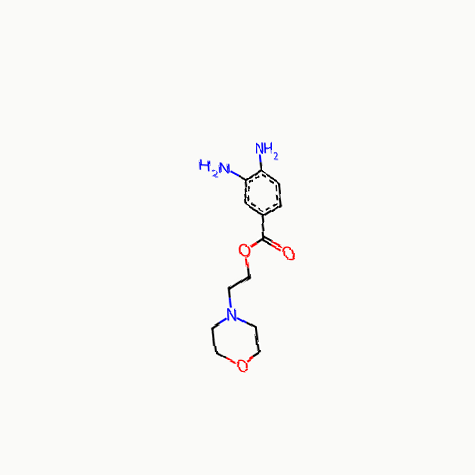 Nc1ccc(C(=O)OCCN2CCOCC2)cc1N